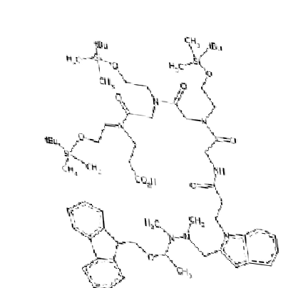 CC(OCC1c2ccccc2-c2ccccc21)N(C)N(C)Cc1cc2ccccc2n1CCC(=O)NCC(=O)N(CCO[Si](C)(C)C(C)(C)C)CC(=O)N(CCO[Si](C)(C)C(C)(C)C)CC(=O)N(CCO[Si](C)(C)C(C)(C)C)CCC(=O)O